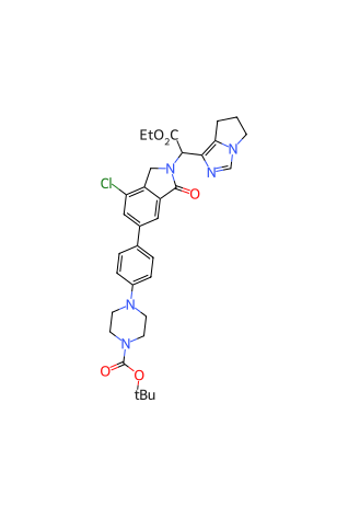 CCOC(=O)C(c1ncn2c1CCC2)N1Cc2c(Cl)cc(-c3ccc(N4CCN(C(=O)OC(C)(C)C)CC4)cc3)cc2C1=O